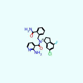 NC(=O)c1ccccc1CN(C(=O)c1cccnc1N)[C@@H]1CCc2c(F)cc(Cl)cc21